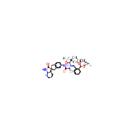 COC(OC)c1ccccc1CN(C(=O)C(C)(C)C)[C@@H](C)C(=O)Nc1ccc2c(c1)CC1(C2)C(=O)Nc2ncccc21